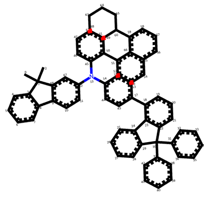 CC1(C)c2ccccc2-c2ccc(N(c3ccc(-c4cccc5c4-c4ccccc4C5(c4ccccc4)c4ccccc4)cc3)c3ccccc3-c3cccc4cccc(C5CCCCC5)c34)cc21